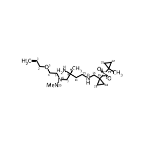 C=CCOCCN(CC(C)(N)CCNCC1(S(=O)(=O)C2(C)CC2)CC1)NC